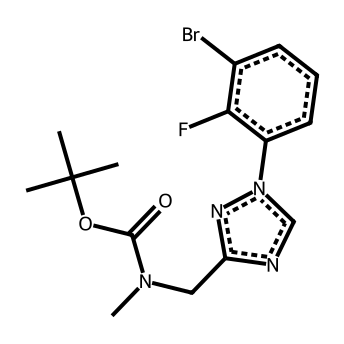 CN(Cc1ncn(-c2cccc(Br)c2F)n1)C(=O)OC(C)(C)C